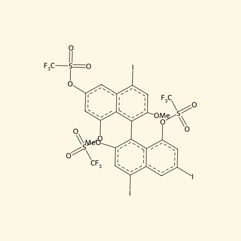 COc1cc(I)c2cc(I)cc(OS(=O)(=O)C(F)(F)F)c2c1-c1c(OC)cc(I)c2cc(OS(=O)(=O)C(F)(F)F)cc(OS(=O)(=O)C(F)(F)F)c12